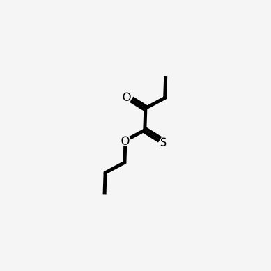 CCCOC(=S)C(=O)CC